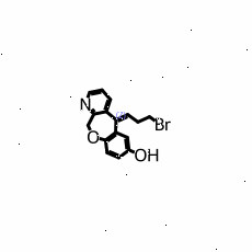 Oc1ccc2c(c1)/C(=C\CCBr)c1cccnc1CO2